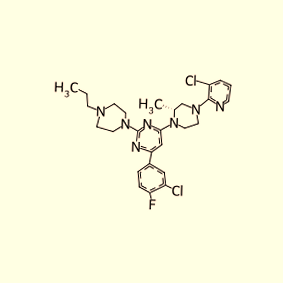 CCCN1CCN(c2nc(-c3ccc(F)c(Cl)c3)cc(N3CCN(c4ncccc4Cl)C[C@H]3C)n2)CC1